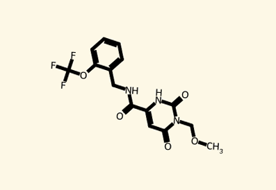 COCn1c(=O)cc(C(=O)NCc2ccccc2OC(F)(F)F)[nH]c1=O